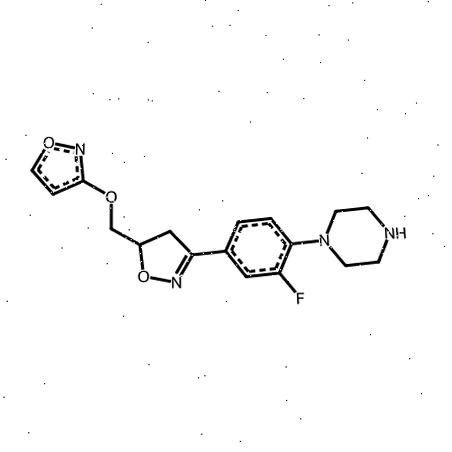 Fc1cc(C2=NOC(COc3ccon3)C2)ccc1N1CCNCC1